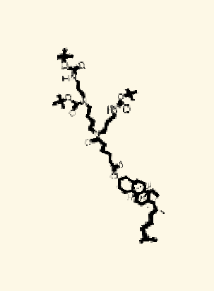 CC(C)CCC[C@@H](C)[C@H]1CC[C@H]2[C@@H]3CC=C4C[C@@H](OC(=O)CCCCC(=O)N(CCCCN(CCCNC(=O)OC(C)(C)C)C(=O)OC(C)(C)C)CCCNC(=O)OC(C)(C)C)CC[C@]4(C)[C@H]3CC[C@]12C